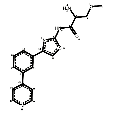 COCC(N)C(=O)Nc1nc(-c2cccc(-c3ccncc3)c2)cs1